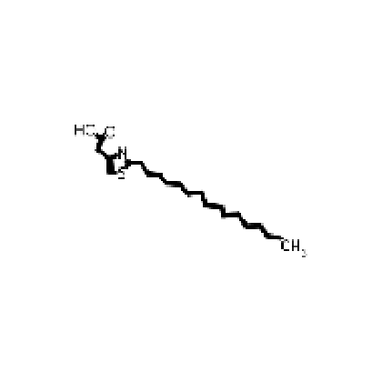 CCCCCCCCCCCCCCCCc1nc(CC(=O)O)cs1